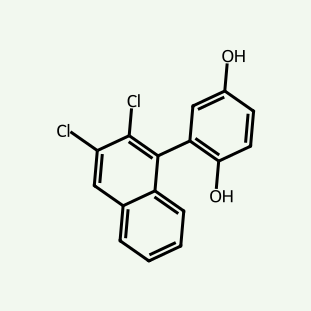 Oc1ccc(O)c(-c2c(Cl)c(Cl)cc3ccccc23)c1